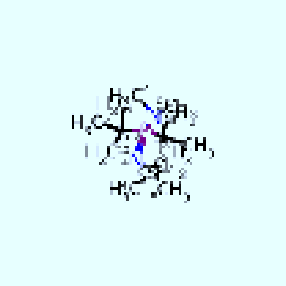 CN(C)P(=N[Si](C)(C)C)(C(C)(C)C)C(C)(C)C